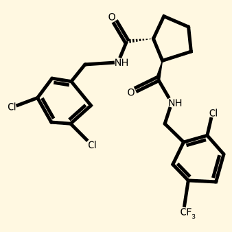 O=C(NCc1cc(Cl)cc(Cl)c1)[C@@H]1CCC[C@H]1C(=O)NCc1cc(C(F)(F)F)ccc1Cl